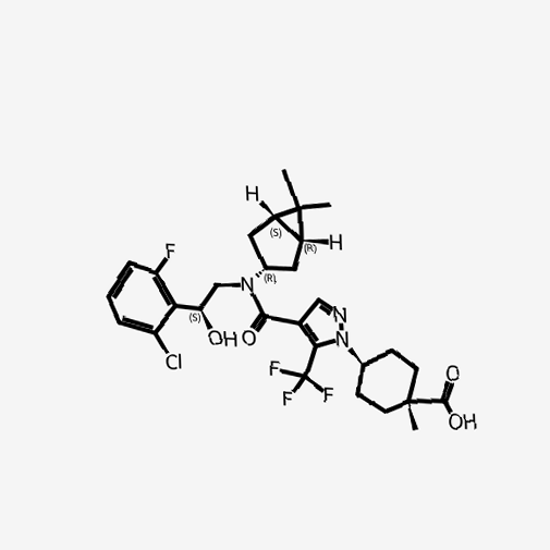 CC1(C)[C@@H]2C[C@H](N(C[C@@H](O)c3c(F)cccc3Cl)C(=O)c3cnn([C@H]4CC[C@](C)(C(=O)O)CC4)c3C(F)(F)F)C[C@@H]21